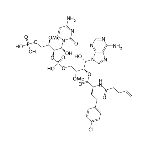 C=CCCC(=O)N[C@@H](CCc1ccc(Cl)cc1)C(=O)O[C@@H]([C@@H](COP(=O)(O)O[C@@H]([C@@H](COP(=O)(O)O)OC)[C@H](O)n1ccc(N)nc1=O)OC)[C@H](O)n1cnc2c(N)ncnc21